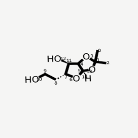 CC1(C)OC2[C@H](O[C@H](CCO)[C@H]2O)O1